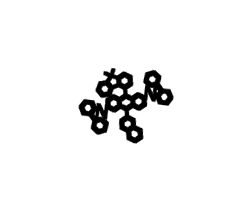 CC1(C)c2ccccc2-c2c(-c3c4ccc(-n5c6ccccc6c6ccccc65)cc4c(-c4ccc5ccccc5c4)c4ccc(-n5c6ccccc6c6ccccc65)cc34)cccc21